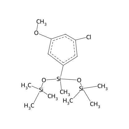 COc1cc(Cl)cc([Si](C)(O[Si](C)(C)C)O[Si](C)(C)C)c1